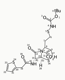 CC(C)(C)OC(=O)NSCCC1C2=C(C(=O)O)[N+]13C(=O)[C@@H](NC(=O)Cc1cccs1)[C@@H]3SC2